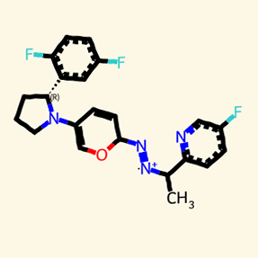 CC([N+]=NC1C=CC(N2CCC[C@@H]2c2cc(F)ccc2F)=CO1)c1ccc(F)cn1